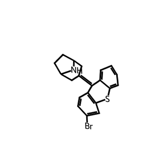 Brc1ccc2c(c1)Sc1ccccc1C2=C1CC2CCC(C1)N2